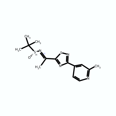 C/C(=N\[S@+]([O-])C(C)(C)C)c1nc(-c2ccnc(C)c2)ns1